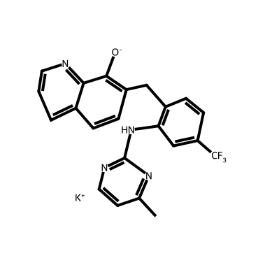 Cc1ccnc(Nc2cc(C(F)(F)F)ccc2Cc2ccc3cccnc3c2[O-])n1.[K+]